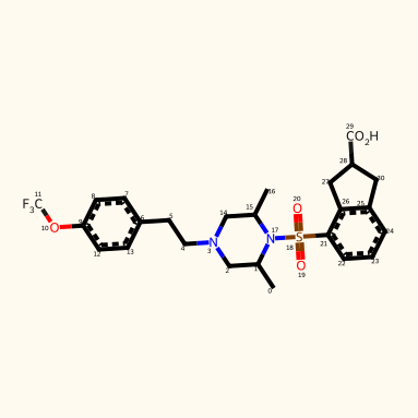 CC1CN(CCc2ccc(OC(F)(F)F)cc2)CC(C)N1S(=O)(=O)c1cccc2c1CC(C(=O)O)C2